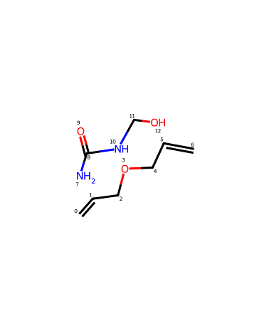 C=CCOCC=C.NC(=O)NCO